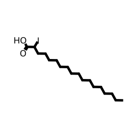 CCCCCCCCCCCCCCCCC(I)C(=O)O